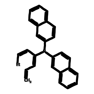 C=C/C=C(\C=C/CC)N(c1ccc2ccccc2c1)c1ccc2ccccc2c1